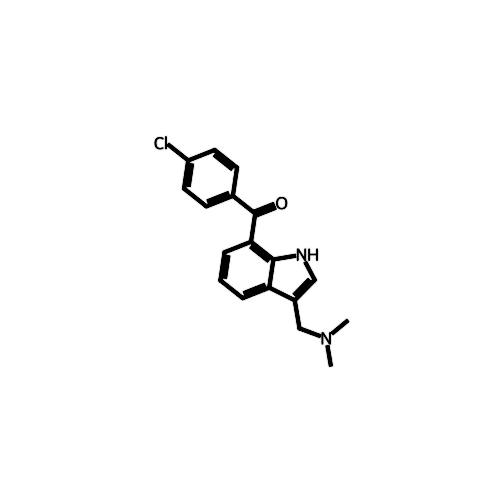 CN(C)Cc1c[nH]c2c(C(=O)c3ccc(Cl)cc3)cccc12